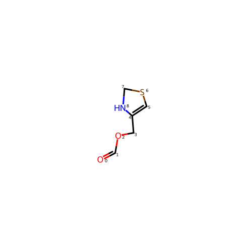 O=COCC1=CSCN1